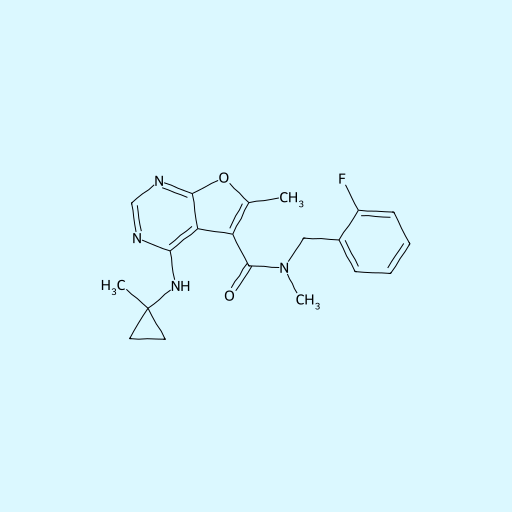 Cc1oc2ncnc(NC3(C)CC3)c2c1C(=O)N(C)Cc1ccccc1F